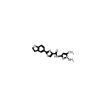 Cc1cc(NC(=O)c2csc(-c3ccc4c(c3)CCO4)n2)nn1N